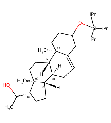 CC(O)[C@H]1CC[C@H]2[C@@H]3CC=C4CC(O[Si](C(C)C)(C(C)C)C(C)C)CC[C@]4(C)[C@H]3CC[C@]12C